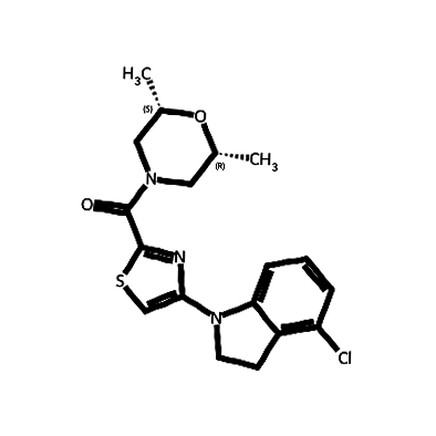 C[C@@H]1CN(C(=O)c2nc(N3CCc4c(Cl)cccc43)cs2)C[C@H](C)O1